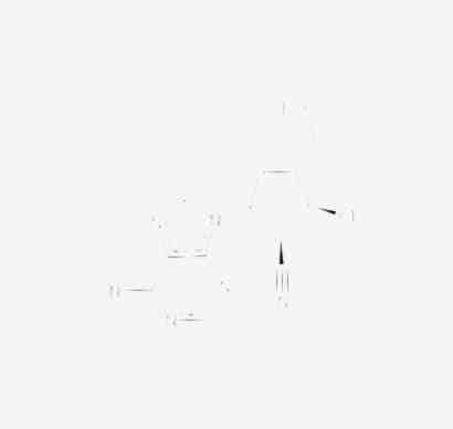 N#C[C@@H]1[C@H](O)[C@@H](CO)O[C@H]1n1cnc2c(N)ncnc21